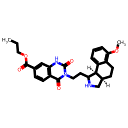 CCCOC(=O)c1ccc2c(=O)n(CCC3NC[C@@H]4CCc5c(OC)cccc5[C@H]34)c(=O)[nH]c2c1